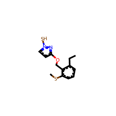 CCc1cccc(SC)c1COc1ccn(S)n1